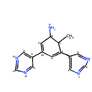 CC1C(c2cncnc2)=CC(c2cncnc2)=CC1N